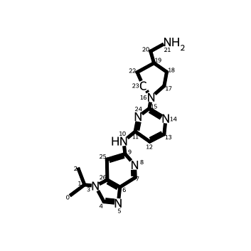 CC(C)n1cnc2cnc(Nc3ccnc(N4CCC(CN)CC4)n3)cc21